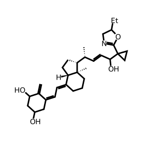 C=C1/C(=C\C=C2/CCC[C@]3(C)[C@@H]([C@H](C)/C=C/C(O)C4(C5=NCC(CC)O5)CC4)CC[C@@H]23)CC(O)CC1O